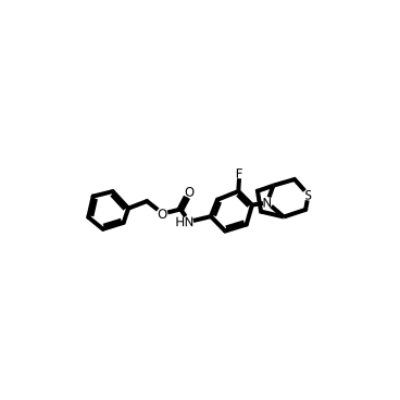 O=C(Nc1ccc(N2C3CCC2CSC3)c(F)c1)OCc1ccccc1